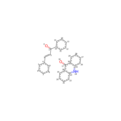 O=C(C=Cc1ccccc1)c1ccccc1.O=c1c2ccccc2[nH]c2ccccc12